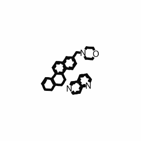 C1=CC2=C(CC1)CCc1c2ccc2cc(CN3CCOCC3)ccc12.c1cnc2ccncc2c1